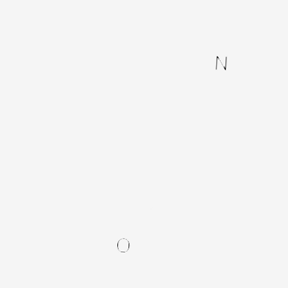 C[C@@H](C=O)c1cccnc1